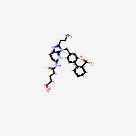 CCCc1nc2ccc(NC(=O)CCCCO)nc2n1Cc1ccc(-c2ccccc2C(=O)O)cc1